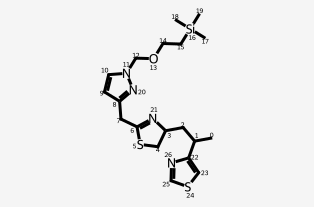 CC(CC1CSC(Cc2ccn(COCC[Si](C)(C)C)n2)=N1)c1cscn1